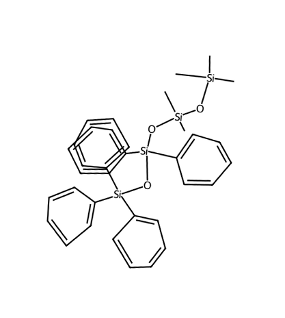 C[Si](C)(C)O[Si](C)(C)O[Si](O[Si](c1ccccc1)(c1ccccc1)c1ccccc1)(c1ccccc1)c1ccccc1